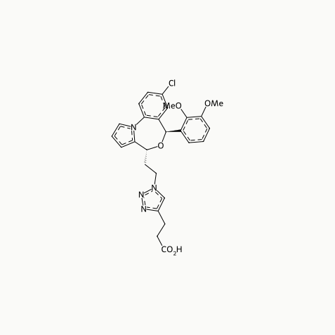 COc1cccc([C@H]2O[C@H](CCn3cc(CCC(=O)O)nn3)c3cccn3-c3ccc(Cl)cc32)c1OC